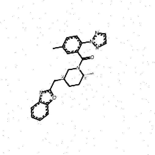 Cc1ccc(-n2nccn2)c(C(=O)N2C[C@H](Cc3nc4ccccc4o3)CC[C@H]2C)c1